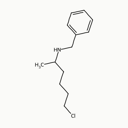 CC(CCCCCl)NCc1ccccc1